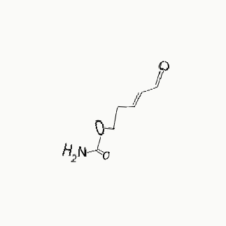 NC(=O)OCCC=CC=O